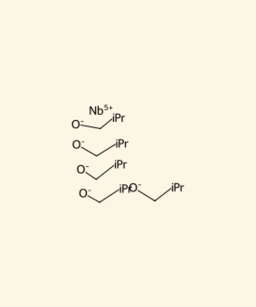 CC(C)C[O-].CC(C)C[O-].CC(C)C[O-].CC(C)C[O-].CC(C)C[O-].[Nb+5]